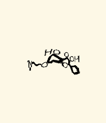 CN(C)CCCOc1cc(O)c2c(=O)c(O)c(-c3ccccc3)oc2c1